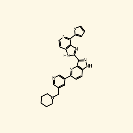 c1csc(-c2nccc3[nH]c(-c4n[nH]c5ccc(-c6cncc(CN7CCCCC7)c6)nc45)nc23)c1